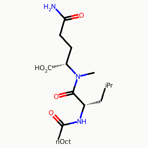 CCCCCCCCC(=O)N[C@@H](CC(C)C)C(=O)N(C)[C@@H](CCC(N)=O)C(=O)O